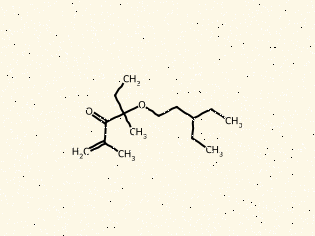 C=C(C)C(=O)C(C)(CC)OCCC(CC)CC